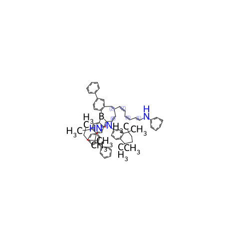 CC1(C)CCC(C)(C)c2cc(N3/C4=C/C(/C=C\C=C/C=C/Nc5ccccc5)=C\c5cc(-c6ccccc6)ccc5B(\C4=C/Nc4cccc(-c5ccccc5)c4)c4cc5c(cc43)C(C)(C)CCC5(C)C)ccc21